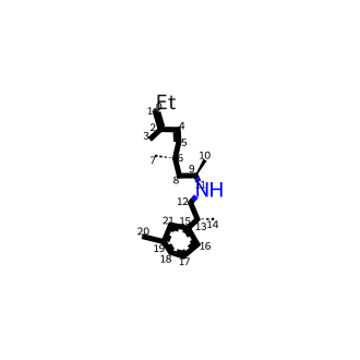 CC/C=C(C)\C=C/[C@@H](C)C[C@@H](C)NC[C@H](C)c1cccc(C)c1